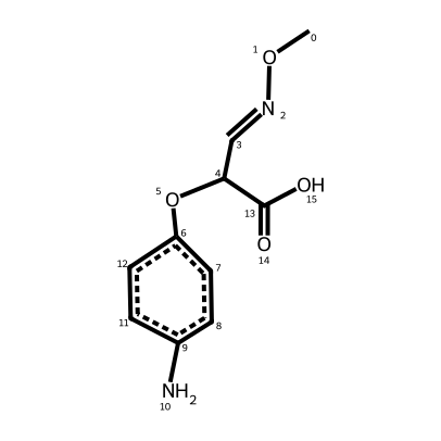 CON=CC(Oc1ccc(N)cc1)C(=O)O